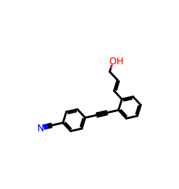 N#Cc1ccc(C#Cc2ccccc2C=CCO)cc1